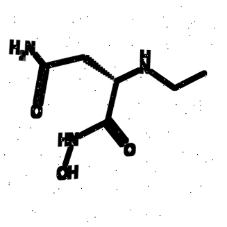 CCN[C@@H](CC(N)=O)C(=O)NO